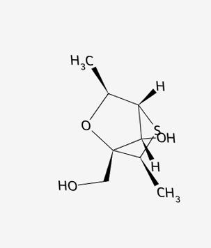 C[C@@H]1O[C@@]2(CO)[C@H](C)S[C@@H]1[C@@H]2O